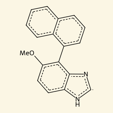 COc1ccc2[nH][c]nc2c1-c1cccc2ccccc12